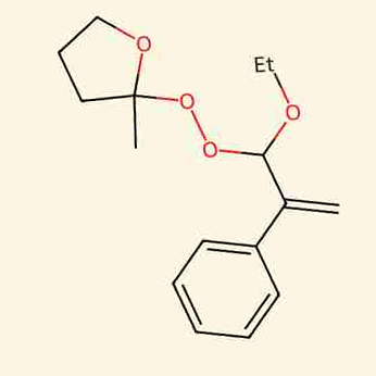 C=C(c1ccccc1)C(OCC)OOC1(C)CCCO1